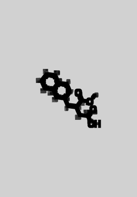 COC(=O)/C(=C\c1ccc2ccccc2c1)CC(=O)O